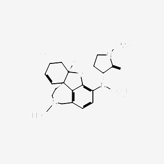 CON1CC[C@@H](N(C(=O)O)c2ccc3c4c2O[C@H]2C[C@@H](O)C=C[C@@]42CCN(C)C3)C1=O